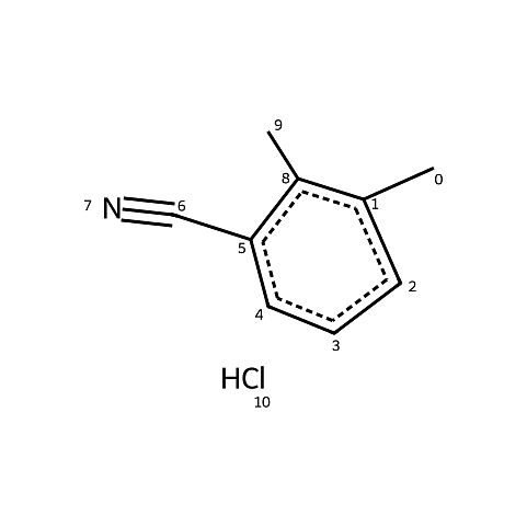 Cc1cccc(C#N)c1C.Cl